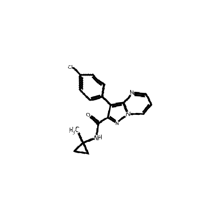 CC1(NC(=O)c2nn3cccnc3c2-c2ccc(Cl)cc2)CC1